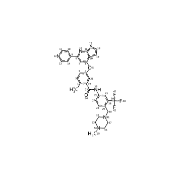 Cc1ccc(Oc2cc(-c3ccncc3)nc3sccc23)cc1C(=O)Nc1ccc(CN2CCN(C)CC2)c(C(F)(F)F)c1